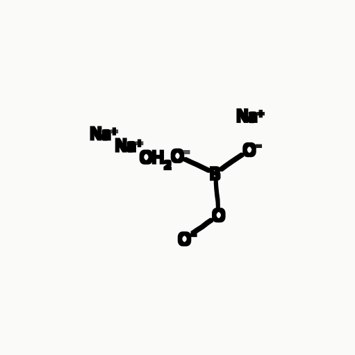 O.[Na+].[Na+].[Na+].[O-]OB([O-])[O-]